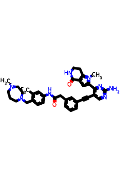 CN1CCCN(Cc2ccc(NC(=O)Cc3cccc(C#Cc4cnc(N)nc4-c4cc5c(n4C)CCNC5=O)c3)cc2C(F)(F)F)CC1